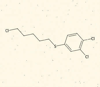 ClCCCCCSc1ccc(Cl)c(Cl)c1